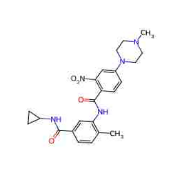 Cc1ccc(C(=O)NC2CC2)cc1NC(=O)c1ccc(N2CCN(C)CC2)cc1[N+](=O)[O-]